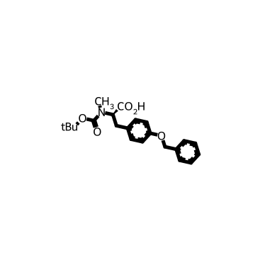 CN(C(=O)OC(C)(C)C)[C@H](Cc1ccc(OCc2ccccc2)cc1)C(=O)O